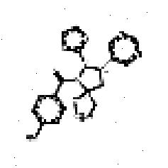 CC(C)C[C@]1(OC(=O)O)C[C@@H](c2cncnc2)[C@H](c2nccs2)N1C(=O)c1ccc(C(C)(C)C)cc1